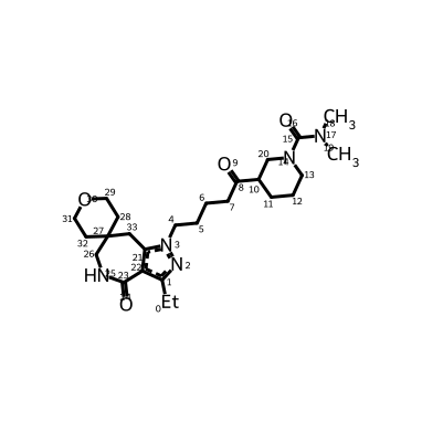 CCc1nn(CCCCC(=O)C2CCCN(C(=O)N(C)C)C2)c2c1C(=O)NCC1(CCOCC1)C2